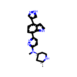 C[C@@H]1C[C@@H](N(C)c2ccc(-c3ccc(-c4cn[nH]c4)c4cc[nH]c34)nn2)CCN1